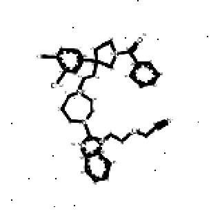 N#CCOCCn1c(N2CCCN(CCC3(c4ccc(Cl)c(Cl)c4)CCN(C(=O)c4ccccc4)C3)CC2)nc2ccccc21